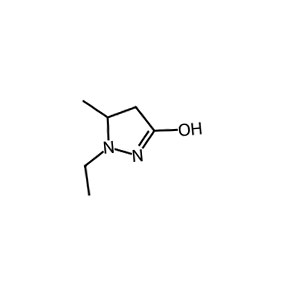 CCN1N=C(O)CC1C